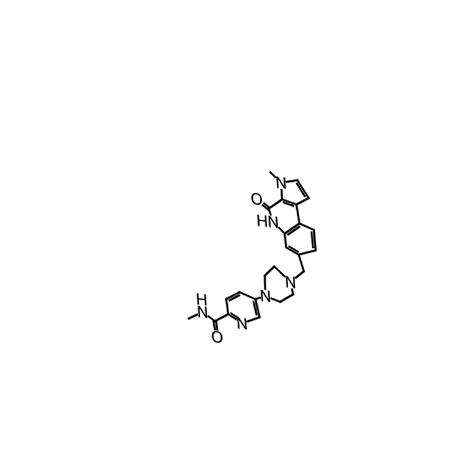 CNC(=O)c1ccc(N2CCN(Cc3ccc4c(c3)[nH]c(=O)c3c4ccn3C)CC2)cn1